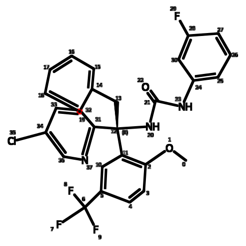 COc1ccc(C(F)(F)F)cc1[C@@](Cc1ccccc1)(NC(=O)Nc1cccc(F)c1)c1ccc(Cl)cn1